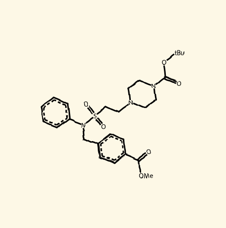 COC(=O)c1ccc(CN(c2ccccc2)S(=O)(=O)CCN2CCN(C(=O)OC(C)(C)C)CC2)cc1